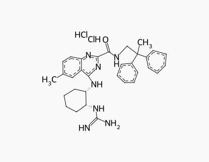 Cc1ccc2nc(C(=O)NCC(C)(c3ccccc3)c3ccccc3)nc(N[C@H]3CCCC[C@H]3NC(=N)N)c2c1.Cl.Cl